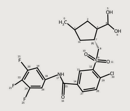 CC1CC(C(O)O)[C@H](CS(=O)(=O)c2cc(C(=O)Nc3cc(F)c(F)c(F)c3)ccc2Cl)C1